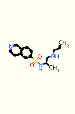 C=CCNCC(C)NS(=O)(=O)c1ccc2cnccc2c1